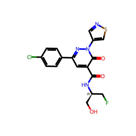 O=C(N[C@H](CO)CF)c1cc(-c2ccc(Cl)cc2)nn(-c2cnsc2)c1=O